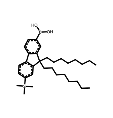 CCCCCCCCC1(CCCCCCCC)c2cc(B(O)O)ccc2-c2ccc([Si](C)(C)C)cc21